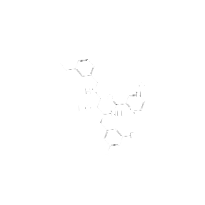 CCc1cccc(CNC[C@@H](O)[C@H](Cc2cc(F)cc(F)c2)NC(=O)c2c[n+]([O-])ccn2)c1